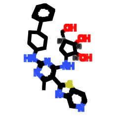 Cc1nc(NC2CCC(c3ccccc3)CC2)nc(NC2C[C@H](CO)[C@@H](O)[C@H]2O)c1-c1nc2cnccc2s1